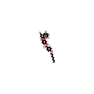 CCCCCCCOc1ccc(C(=O)Oc2ccc(OC(CCC)C3(C)CC[Si](C)(C)[Si](C)(C)O3)cc2)cc1